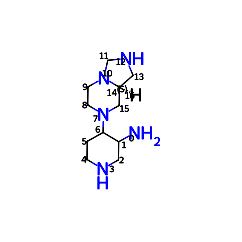 NC1CNCCC1N1CCN2CNC[C@H]2C1